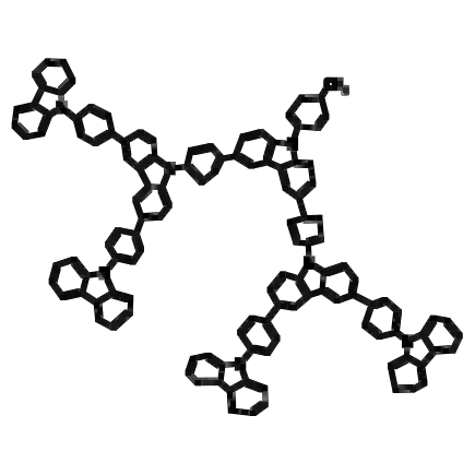 Cc1ccc(-n2c3ccc(-c4ccc(-n5c6ccc(-c7ccc(-n8c9ccccc9c9ccccc98)cc7)cc6c6cc(-c7ccc(-n8c9ccccc9c9ccccc98)cc7)ccc65)cc4)cc3c3cc(-c4ccc(-n5c6ccc(-c7ccc(-n8c9ccccc9c9ccccc98)cc7)cc6c6cc(-c7ccc(-n8c9ccccc9c9ccccc98)cc7)ccc65)cc4)ccc32)cc1